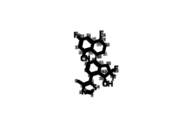 Cc1ncsc1-c1ccc([C@H]2CC[C@H](F)c3cc(F)cc(C#N)c32)c2c1[C@H](O)C(F)(F)C2